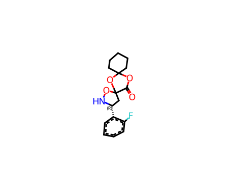 O=C1OC2(CCCCC2)OC12C[C@H](c1ccccc1F)NO2